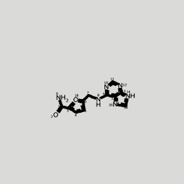 NC(=O)c1ccc(CNc2ncnc3[nH]cnc23)o1